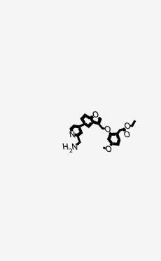 CCOC(=O)Cc1ccc(OC)cc1OCc1coc2ccc(-c3ccnc(CN)c3)cc12